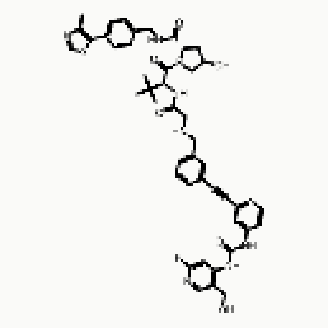 Cc1ncsc1-c1ccc(CNC(=O)[C@@H]2C[C@@H](O)CN2C(=O)C(NC(=O)CNCc2cccc(C#Cc3cc(NC(=O)Nc4cc(F)ncc4CO)ccn3)c2)C(C)(C)C)cc1